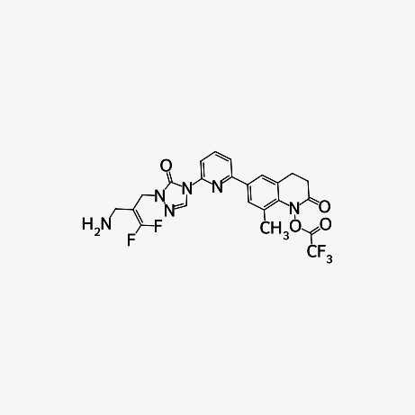 Cc1cc(-c2cccc(-n3cnn(CC(CN)=C(F)F)c3=O)n2)cc2c1N(OC(=O)C(F)(F)F)C(=O)CC2